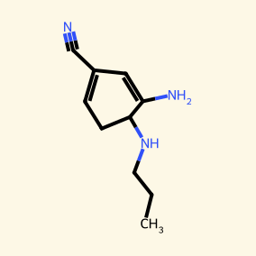 CCCNC1CC=C(C#N)C=C1N